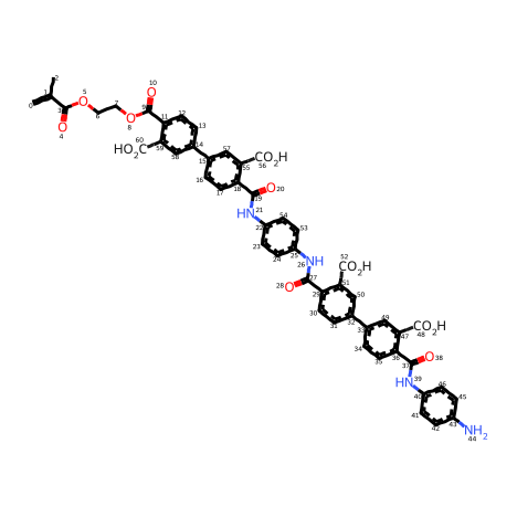 C=C(C)C(=O)OCCOC(=O)c1ccc(-c2ccc(C(=O)Nc3ccc(NC(=O)c4ccc(-c5ccc(C(=O)Nc6ccc(N)cc6)c(C(=O)O)c5)cc4C(=O)O)cc3)c(C(=O)O)c2)cc1C(=O)O